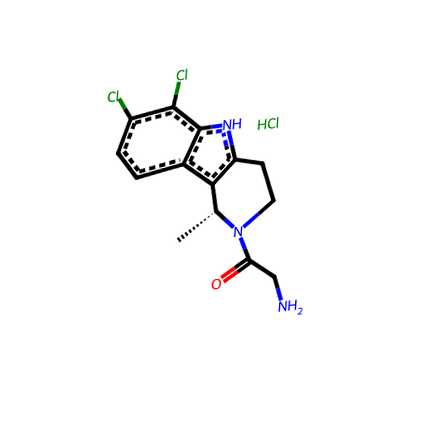 C[C@@H]1c2c([nH]c3c(Cl)c(Cl)ccc23)CCN1C(=O)CN.Cl